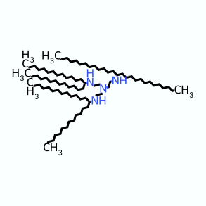 CCCCCCCCCCCCCC(CCCCCCCCCCCCC)NCCN(CCNC(CCCCCCCCCCCCC)CCCCCCCCCCCCC)CCNC(CCCCCCCCCCCCC)CCCCCCCCCCCCC